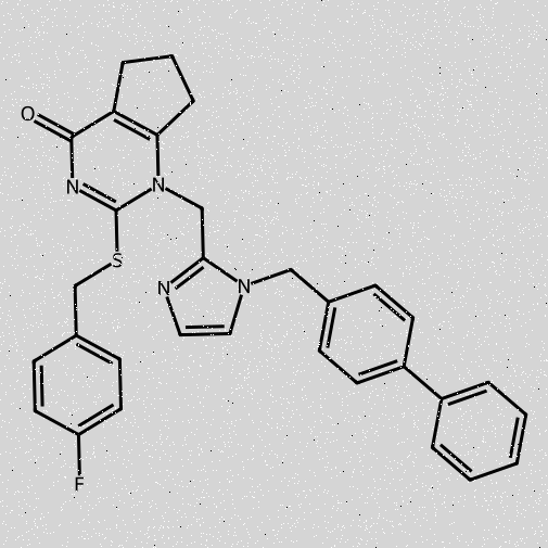 O=c1nc(SCc2ccc(F)cc2)n(Cc2nccn2Cc2ccc(-c3ccccc3)cc2)c2c1CCC2